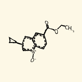 CCOC(=O)c1ccc2c(c1)cc(C1CC1)c[n+]2[O-]